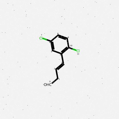 O=[C]CC=Cc1cc(Cl)ccc1Cl